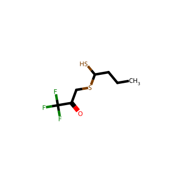 CCCC(S)SCC(=O)C(F)(F)F